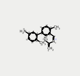 C=C(N)/N=C\c1cc(-c2cc(N)ccc2C)ccc1C